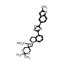 Cc1cc2cc(-c3nc(-c4cccc5c4CCN5CC4(NC(=O)O)COC(C)(C)OC4)no3)ccc2o1